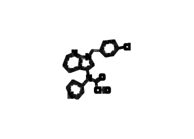 O=CC(=O)N(c1ccncc1)c1cn(Cc2ccc(Cl)cc2)c2ncccc12